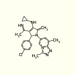 C=C1C(NC2CC2)=C(C(C)=N)C(c2ccc(Cl)cc2)N1c1cc(C)c2nnc(C)n2c1